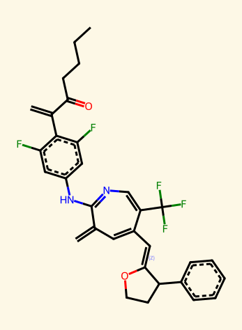 C=C1C=C(/C=C2\OCCC2c2ccccc2)C(C(F)(F)F)=CN=C1Nc1cc(F)c(C(=C)C(=O)CCCC)c(F)c1